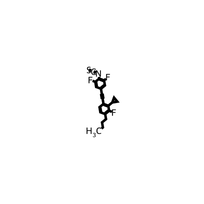 CCCCc1ccc(C#Cc2cc(F)c(N=C=S)c(F)c2)c(C2CC2)c1F